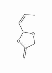 C=C1COC(/C=C\C)O1